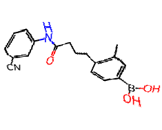 Cc1cc(B(O)O)ccc1CCCC(=O)Nc1cccc(C#N)c1